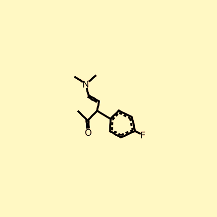 CC(=O)C(C=CN(C)C)c1ccc(F)cc1